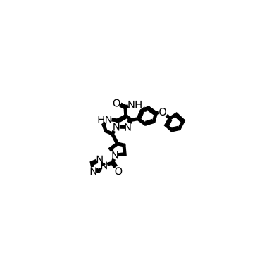 NC(=O)c1c(-c2ccc(Oc3ccccc3)cc2)nn2c1NCCC2C1CCN(C(=O)n2cncn2)C1